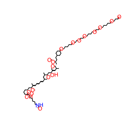 COC(CC1CCC[C@](O)(C(=O)CCCCCNC=O)O1)/C(C)=C/C=C/C=C/C(C)CC(C)C(=O)CC(O)/C(C)=C/C(C)[C@@H](CC(CCC1CCC(OCCCCCOCCOCCOCCCCOCCOCCCCCOCCC=O)CC1)OC=O)OC